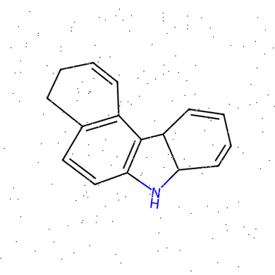 C1=CC2Nc3ccc4c(c3C2C=C1)C=CCC4